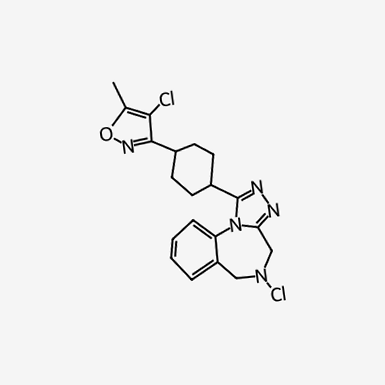 Cc1onc(C2CCC(c3nnc4n3-c3ccccc3CN(Cl)C4)CC2)c1Cl